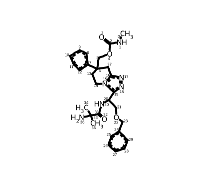 CNC(=O)OCC1(c2ccccc2)CCn2c(nnc2C(COCc2ccccc2)NC(=O)C(C)(C)N)C1